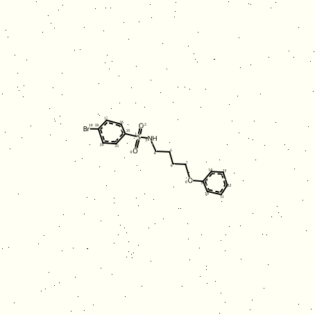 O=S(=O)(NCCCCOc1cc[c]cc1)c1ccc(Br)cc1